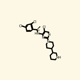 C[C@@H](Nc1nc(N2CCC(C3CCCNC3)CC2)ncc1Cl)c1ccc(Cl)cc1Cl